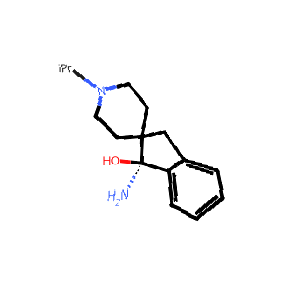 CC(C)N1CCC2(CC1)Cc1ccccc1[C@@]2(N)O